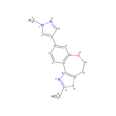 Cn1cc(-c2ccc3c(c2)OCCc2sc(C(=O)O)nc2-3)cn1